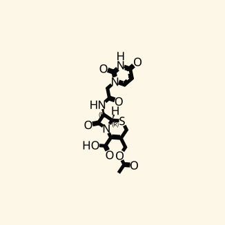 CC(=O)OCC1=C(C(=O)O)N2C(=O)[C@@H](NC(=O)Cn3ccc(=O)[nH]c3=O)[C@H]2SC1